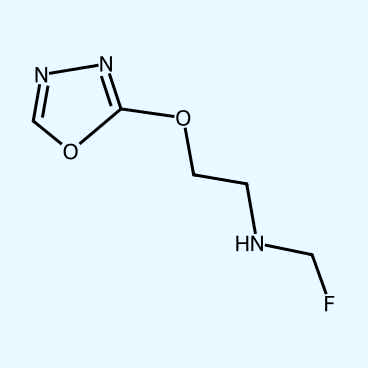 FCNCCOc1nnco1